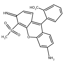 CS(=O)(=O)c1c2oc3cc(N)ccc3c(-c3ccccc3C(=O)O)c-2ccc1=N